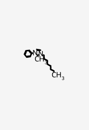 CCCCCCCCN1C=CN(c2ccccc2)C1C